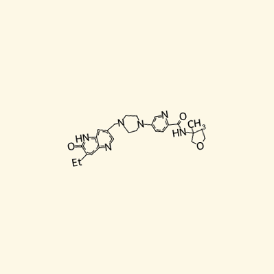 CCc1cc2ncc(CN3CCN(c4ccc(C(=O)NC5(C)CCOC5)nc4)CC3)cc2[nH]c1=O